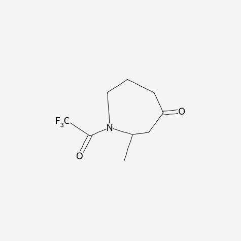 CC1CC(=O)CCCN1C(=O)C(F)(F)F